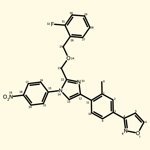 Cc1cc(-c2ccon2)ccc1-c1cn(-c2ccc([N+](=O)[O-])cc2)c(COCc2ccccc2F)n1